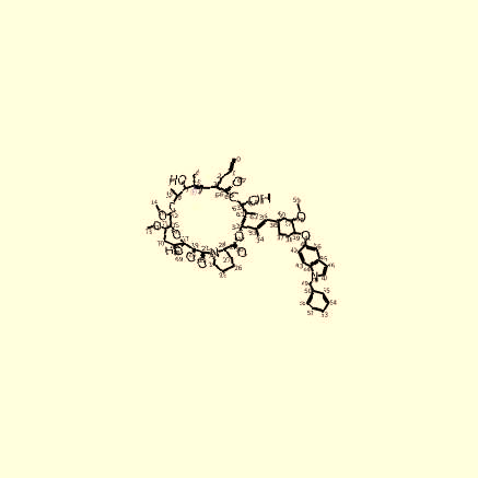 C=CCC1/C=C(\C)C(O)C(C)CC(OC)C2OC(O)(C(=O)C(=O)N3CCCCC3C(=O)OC(C(C)=CC3CCC(Oc4ccc5c(ccn5Cc5ccccc5)c4)C(OC)C3)C(C)C(O)CC1=O)C(C)CC2OC